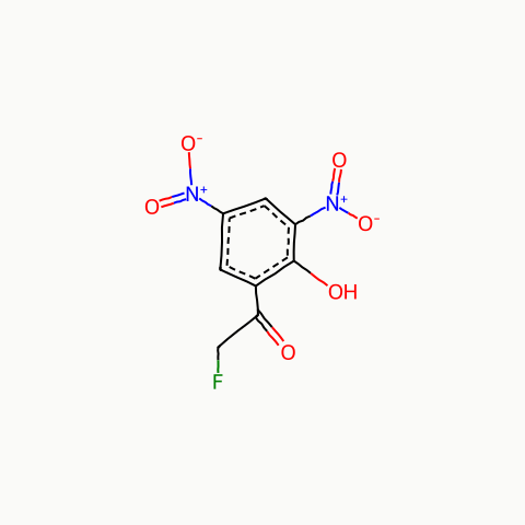 O=C(CF)c1cc([N+](=O)[O-])cc([N+](=O)[O-])c1O